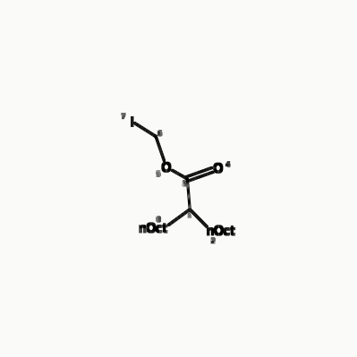 CCCCCCCCC(CCCCCCCC)C(=O)OCI